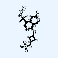 CC(C)(N=[N+]=[N-])c1cnc(OC2CC(CS(C)(=O)=O)C2)c2cnc(Cl)cc12